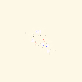 CC[C@H](C)[C@@H]([C@@H](CC(=O)N1CCC[C@H]1[C@H](OC)[C@@H](C)C(=O)N[C@@H](Cc1ccccc1)C(=O)O)OC)N(C)C(=O)[C@H](C(C)C)N(C)C(=O)[C@H](C(C)C)N(C)C(C)C